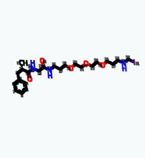 C[C@@H](Cc1ccccc1)C(=O)NCC(=O)NCCCOCCOCCOCCCNCI